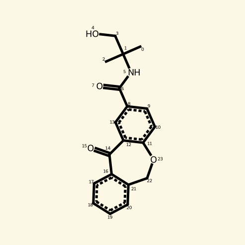 CC(C)(CO)NC(=O)c1ccc2c(c1)C(=O)c1ccccc1CO2